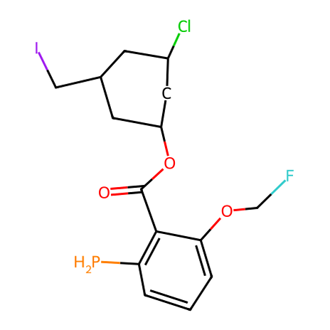 O=C(OC1CC(Cl)CC(CI)C1)c1c(P)cccc1OCF